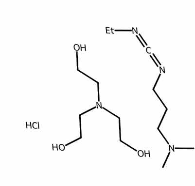 CCN=C=NCCCN(C)C.Cl.OCCN(CCO)CCO